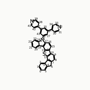 c1ccc2c(c1)Cc1ccc3c(sc4c3ccc3c4c4ccccc4n3-c3cc(-c4ccncc4)cc(-c4ccncc4)c3)c1-2